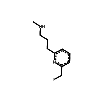 CNCCCc1cccc(CI)n1